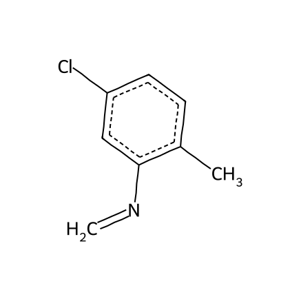 C=Nc1cc(Cl)ccc1C